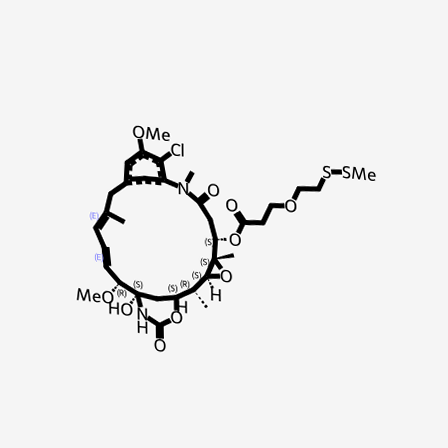 COc1cc2cc(c1Cl)N(C)C(=O)C[C@H](OC(=O)CCOCCSSC)[C@]1(C)O[C@H]1[C@H](C)[C@@H]1C[C@@](O)(NC(=O)O1)[C@H](OC)/C=C/C=C(\C)C2